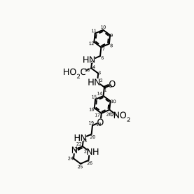 O=C(NC[C@H](NCc1ccccc1)C(=O)O)c1ccc(OCCNC2=NCCCN2)c([N+](=O)[O-])c1